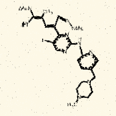 CN\N=C/C(=C\C(C)=C(\NC)C(C)C)c1nc(Nc2ccc(CN3CCN(C)CC3)cn2)ncc1F